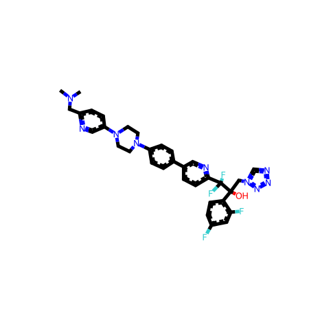 CN(C)Cc1ccc(N2CCN(c3ccc(-c4ccc(C(F)(F)C(O)(Cn5cnnn5)c5ccc(F)cc5F)nc4)cc3)CC2)cn1